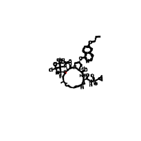 CCCOc1ccc2c(O[C@@H]3C[C@H]4C(=O)N[C@]5(C(=O)NS(=O)(=O)C6CC6)C[C@H]5C=CCC[C@@H](C)C[C@@H](C)[C@H](N(C(=O)O)C(C(F)(F)F)(C(Cl)(Cl)Cl)C(Cl)(Cl)Cl)C(=O)N4C3)nccc2c1